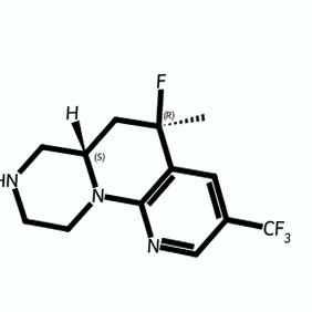 C[C@@]1(F)C[C@H]2CNCCN2c2ncc(C(F)(F)F)cc21